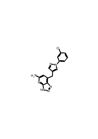 Nc1cc(Cc2cnn(-c3cccc(Cl)c3)c2)c2nn[nH]c2n1